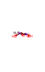 CCN(CCCCCC(=O)O)c1ccc2cc(-c3cc[n+](CCCS(=O)(=O)O)cc3)c(=O)oc2c1